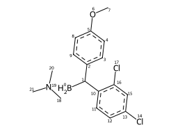 BC(c1ccc(OC)cc1)c1ccc(Cl)cc1Cl.CN(C)C